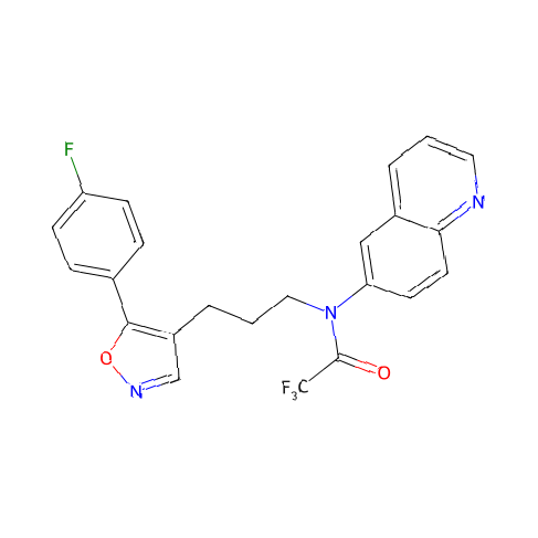 O=C(N(CCCc1cnoc1-c1ccc(F)cc1)c1ccc2ncccc2c1)C(F)(F)F